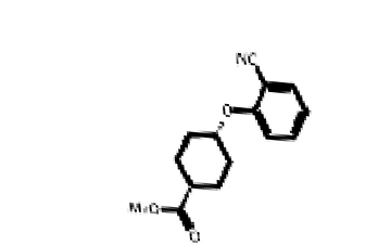 COC(=O)[C@H]1CC[C@H](Oc2ccccc2C#N)CC1